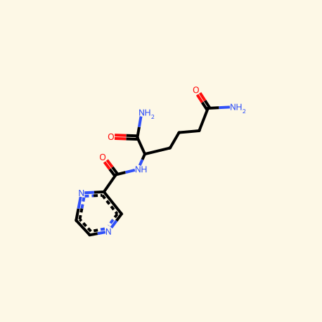 NC(=O)CCCC(NC(=O)c1cnccn1)C(N)=O